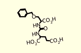 O=C(O)CCC(NC(=O)N[C@@H](COCc1ccccc1)C(=O)O)C(=O)O